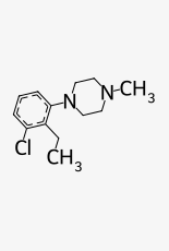 CCc1c(Cl)cccc1N1CCN(C)CC1